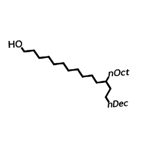 CCCCCCCCCCCCC(CCCCCCCC)CCCCCCCCCCCO